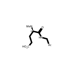 CN[C@H](CCC(=O)O)C(=O)NCC(C)=O